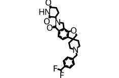 O=C1CCC(N2Cc3c(ccc4c3OCC43CCN(Cc4ccc(C(F)F)cc4)CC3)C2=O)C(=O)N1